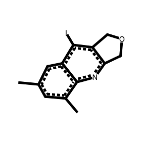 Cc1cc(C)c2nc3c(c(I)c2c1)COC3